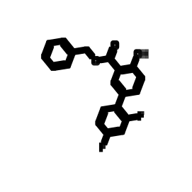 O=C(OCc1ccccc1)c1cc(-c2ccc(F)cc2F)ccc1O